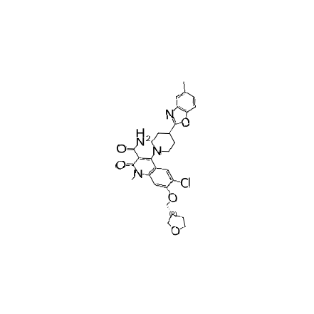 Cc1ccc2oc(C3CCN(c4c(C(N)=O)c(=O)n(C)c5cc(OC[C@@H]6CCOC6)c(Cl)cc45)CC3)nc2c1